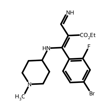 CCOC(=O)/C(C=N)=C(/NC1CCN(C)CC1)c1ccc(Br)cc1F